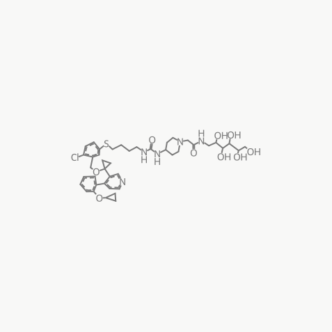 O=C(CN1CCC(NC(=O)NCCCCSc2ccc(Cl)c(COC3(c4cnccc4-c4ccccc4OC4CC4)CC3)c2)CC1)NCC(O)C(O)C(O)C(O)CO